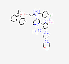 COc1cc(N2CCC(N3CCOCC3)CC2)c(N)c(-c2cc(-n3c(CCCO[Si](c4ccccc4)(c4ccccc4)C(C)(C)C)nnc3-c3ccc(F)cc3)ccn2)c1N